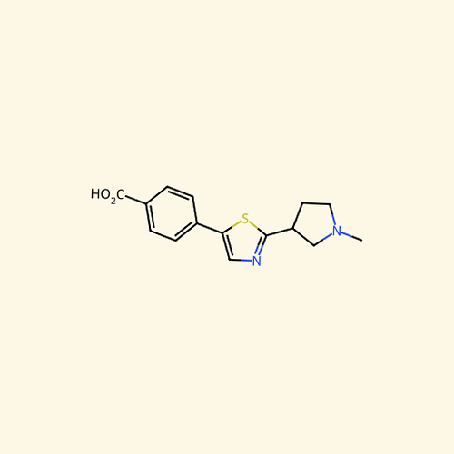 CN1CCC(c2ncc(-c3ccc(C(=O)O)cc3)s2)C1